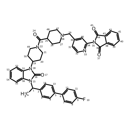 CC(c1ccc(-c2ccc(F)cc2)cc1)n1c(=O)n(C2CCN(C(=O)C3CCN(Cc4ccnc(N5C(=O)c6ccccc6C5=O)c4)CC3)CC2)c2ccccc21